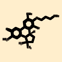 COCCCOc1c(OC)cc2c(c1Br)[C@H]1CCC(C)(C)N1n1cc(C(=O)O)c(=O)cc1-2